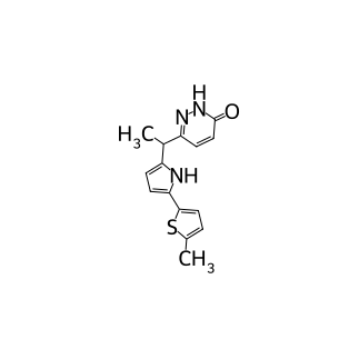 Cc1ccc(-c2ccc(C(C)c3ccc(=O)[nH]n3)[nH]2)s1